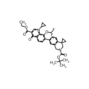 CCOC(=O)c1cn(C2CC2)c2c(OC(F)F)c(-c3ccc4c(c3)CN(C(=O)OC(C)(C)C)CC43CC3)ccc2c1=O